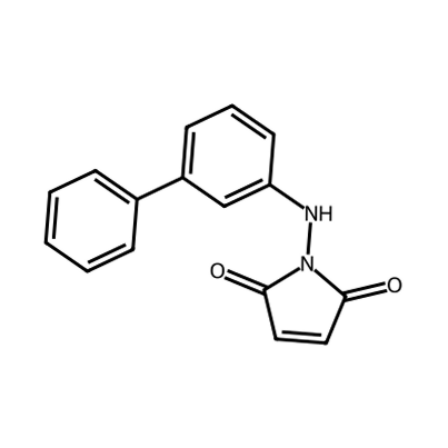 O=C1C=CC(=O)N1Nc1cccc(-c2ccccc2)c1